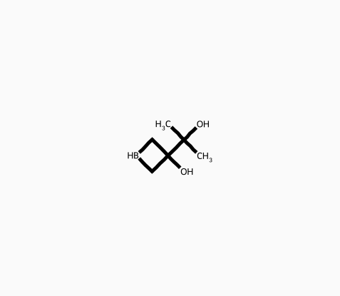 CC(C)(O)C1(O)CBC1